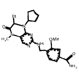 CCC1C(=O)N(C)c2cnc(NCc3ccc(C(N)=O)cc3OC)nc2N1C1CCCC1